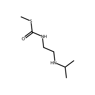 CSC(=O)NCCNC(C)C